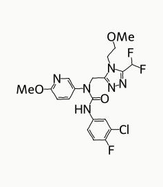 COCCn1c(CN(C(=O)Nc2ccc(F)c(Cl)c2)c2ccc(OC)nc2)nnc1C(F)F